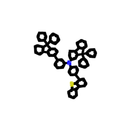 c1ccc(C2(c3ccccc3)c3ccccc3-c3cc(-c4cccc(N(c5ccc(-c6cccc7c6sc6ccccc67)cc5)c5ccc6c(c5)C(c5ccccc5)(c5ccccc5)c5ccccc5-6)c4)ccc32)cc1